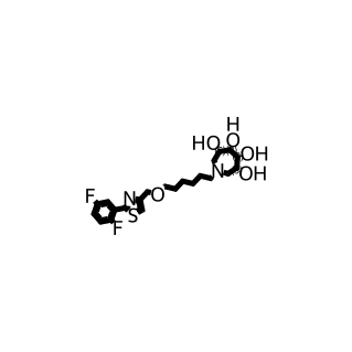 O[C@H]1[C@H](O)[C@@H](O)CN(CCCCCCOCc2csc(-c3cc(F)ccc3F)n2)C[C@@H]1O